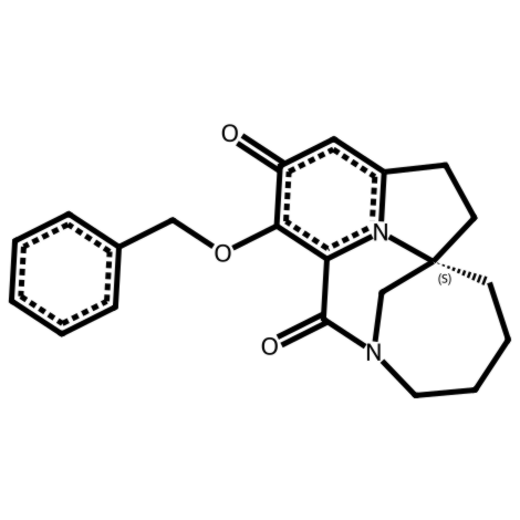 O=C1c2c(OCc3ccccc3)c(=O)cc3n2[C@@]2(CCCCN1C2)CC3